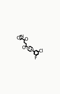 O=C(CCC(=O)N1CCN(c2cc(F)cc(Cl)c2)CC1)c1cocn1